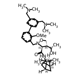 COc1c(CN2OC[C@H]([C@H](C)O)[C@H]2C(=O)N[C@H]2C[C@H]3C[C@@H]([C@@H]2C)C3(C)C)cccc1-c1cc(CN(C)C)cc(CN(C)C)c1